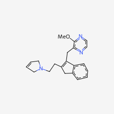 COc1nccnc1CC1=C(CCN2CC=CC2)Cc2ccccc21